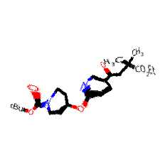 CCOC(=O)C(C)(C)CC(=O)c1ccc(OC2CCN(C(=O)OC(C)(C)C)CC2)nc1